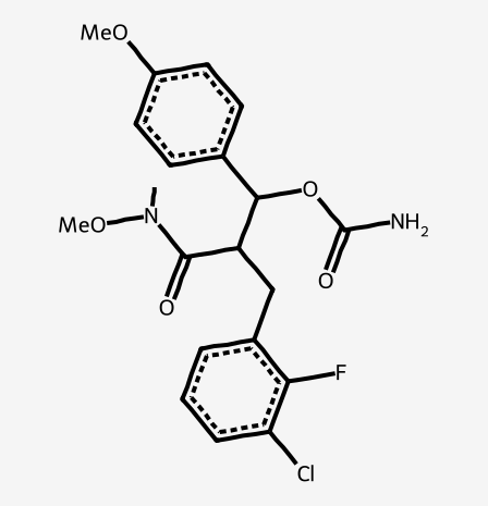 COc1ccc(C(OC(N)=O)C(Cc2cccc(Cl)c2F)C(=O)N(C)OC)cc1